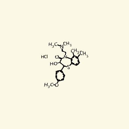 COc1ccc(C2Sc3ccc(C)c(C)c3N(CCN(C)C)C(=O)C2O)cc1.Cl